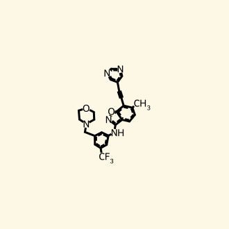 Cc1ccc2c(Nc3cc(CN4CCOCC4)cc(C(F)(F)F)c3)noc2c1C#Cc1cncnc1